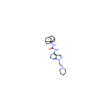 O=C(Nc1ncnc2c1cnn2CCN1CCCCC1)NC12CC3CC(CC(C3)C1)C2